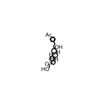 CC(=O)c1ccc(CC[C@@]2(O)CC[C@@]3(C)[C@H](CC[C@@H]4[C@@H]3CC[C@]3(C)[C@@H](C(=O)CO)CC[C@@H]43)C2)cc1